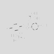 O=C1C=CC(=O)C(OP(=O)(O)O)=C1.O=P(O)(O)Oc1cc(O)ccc1O